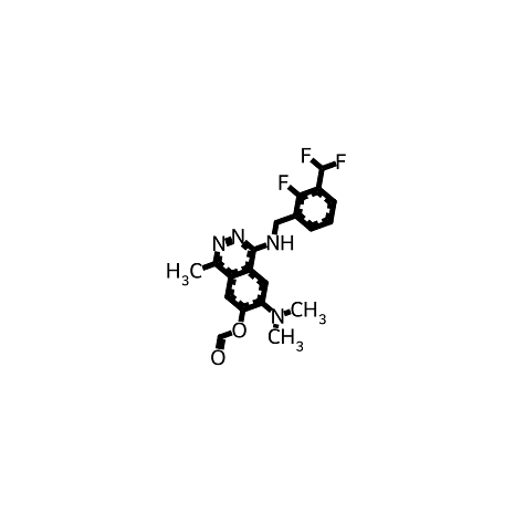 Cc1nnc(NCc2cccc(C(F)F)c2F)c2cc(N(C)C)c(OC=O)cc12